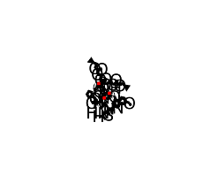 C=C[C@@H]1C[C@]1(NC(=O)[C@@H]1C[C@@H](Oc2cc(-c3csc(NC(C)C)n3)nc3cc(OC)ccc23)CN1C(=O)[C@@H](NC(=O)OC1CCCC1)C(C)(C)C)P(=O)(OCOC(=O)OCC1CC1)OCOC(=O)OCC1CC1